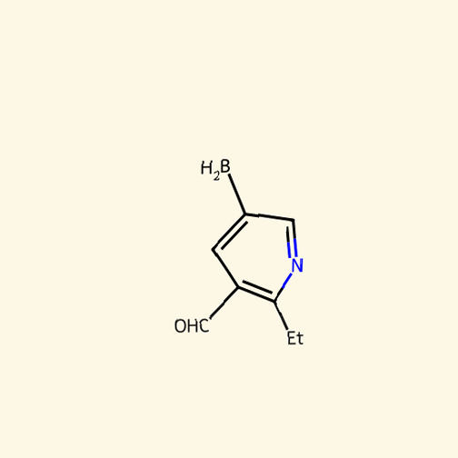 Bc1cnc(CC)c(C=O)c1